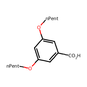 CCCCCOc1cc(OCCCCC)cc(C(=O)O)c1